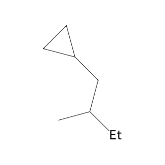 CCC(C)CC1CC1